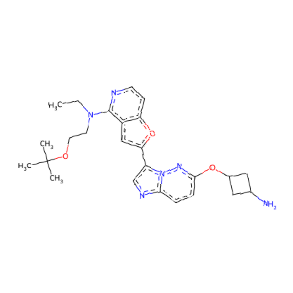 CCN(CCOC(C)(C)C)c1nccc2oc(-c3cnc4ccc(OC5CC(N)C5)nn34)cc12